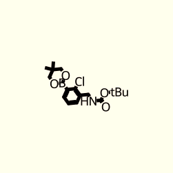 CC1(C)COB(c2cccc(CNC(=O)OC(C)(C)C)c2Cl)OC1